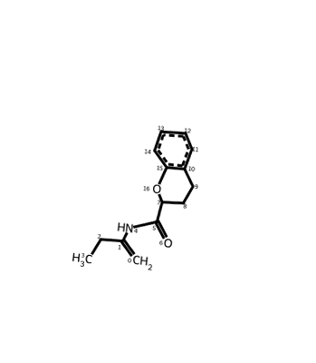 C=C(CC)NC(=O)C1CCc2ccccc2O1